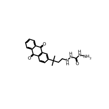 CC(C)(CCNNC(=O)NN)c1ccc2c(c1)C(=O)c1ccccc1C2=O